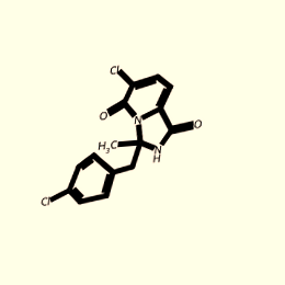 CC1(Cc2ccc(Cl)cc2)NC(=O)c2ccc(Cl)c(=O)n21